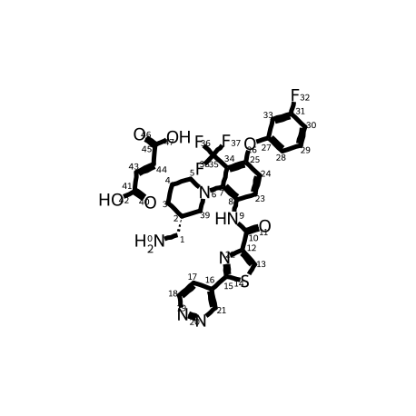 NC[C@@H]1CCCN(c2c(NC(=O)c3csc(-c4ccnnc4)n3)ccc(Oc3cccc(F)c3)c2C(F)(F)F)C1.O=C(O)/C=C/C(=O)O